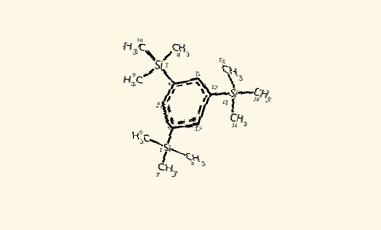 C[Si](C)(C)c1[c]c([Si](C)(C)C)cc([Si](C)(C)C)c1